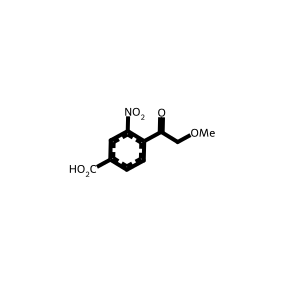 COCC(=O)c1ccc(C(=O)O)cc1[N+](=O)[O-]